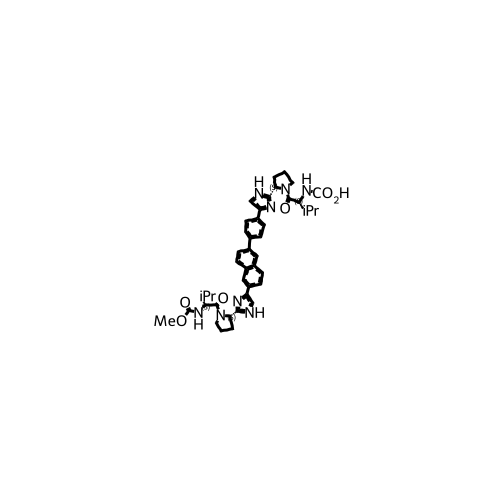 COC(=O)N[C@H](C(=O)N1CCC[C@H]1c1nc(-c2ccc3cc(-c4ccc(-c5c[nH]c([C@@H]6CCCN6C(=O)[C@@H](NC(=O)O)C(C)C)n5)cc4)ccc3c2)c[nH]1)C(C)C